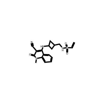 C=CS(=O)(=O)NCC1CC(Nc2c(C#N)c(=O)n(C)c3ccccc23)C1